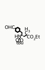 CCOC(=O)[C@@H](C)C[C@H](Cc1ccc(C=O)cc1)NC(=O)OC(C)(C)C